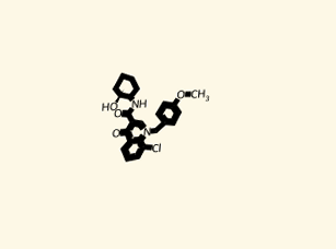 COc1ccc(Cn2cc(C(=O)NC3CCCC[C@@H]3O)c(=O)c3cccc(Cl)c32)cc1